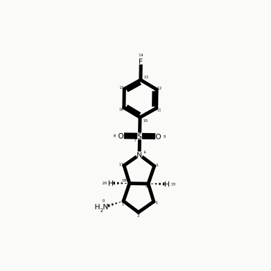 N[C@H]1CC[C@@H]2CN(S(=O)(=O)c3ccc(F)cc3)C[C@@H]21